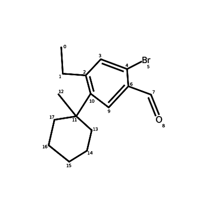 CCc1cc(Br)c(C=O)cc1C1(C)CCCCC1